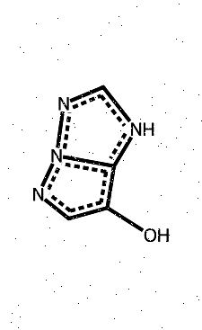 Oc1cnn2nc[nH]c12